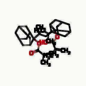 C=C(C)C(=O)OC1(C(C)CC2C3CC4CC(C3)C(OC(O)C(=C)C)(C(C)C)C2C4)C2CC3CC(C2)CC1C3